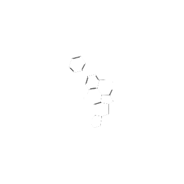 Cc1cc(-c2ccccc2)cc(C)c1C1C(=O)CC(CC2CCOC2)C1=O